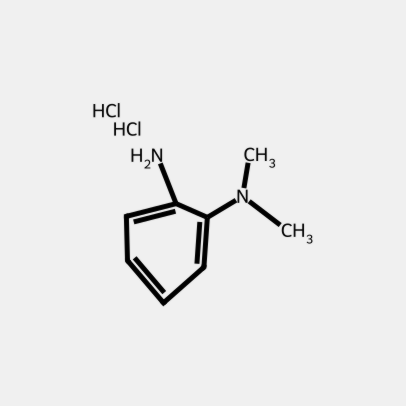 CN(C)c1ccccc1N.Cl.Cl